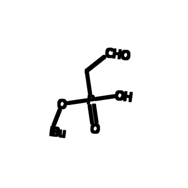 CCC(C)OP(=O)(O)CC=O